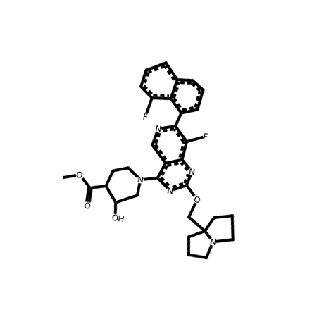 COC(=O)C1CCN(c2nc(OCC34CCCN3CCC4)nc3c(F)c(-c4cccc5cccc(F)c45)ncc23)CC1O